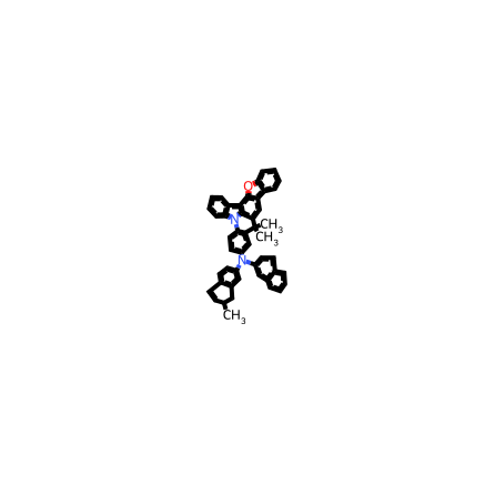 CC1C=Cc2ccc(N(c3ccc4c(c3)C(C)(C)c3cc5c6ccccc6oc5c5c6ccccc6n-4c35)c3ccc4ccccc4c3)cc2C1